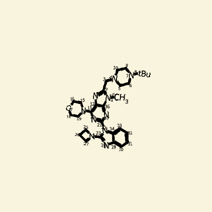 Cn1c(CN2CCN(C(C)(C)C)CC2)nc2c(N3CCOCC3)nc(-n3c(N4CCC4)nc4ccccc43)nc21